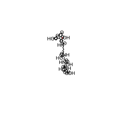 O=C1C=CC2C(=C1)Oc1cc(O)ccc1C2c1ccc(C(=O)NCCCCCC(=O)N[C@@H](CCC(=O)N[C@@H](COP(=O)(O)N[C@@H](CC(=O)O)C(=O)O)C(=O)O)C(=O)O)cc1C(=O)O